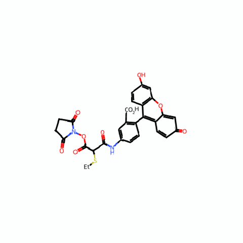 CCSC(C(=O)Nc1ccc(-c2c3ccc(=O)cc-3oc3cc(O)ccc23)c(C(=O)O)c1)C(=O)ON1C(=O)CCC1=O